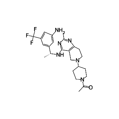 CC(=O)N1CCC(N2CCc3nc(C)nc(N[C@H](C)c4cc(N)cc(C(F)(F)F)c4)c3C2)CC1